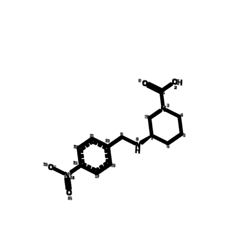 O=C(O)N1CCC[C@@H](NCc2ccc([N+](=O)[O-])cc2)C1